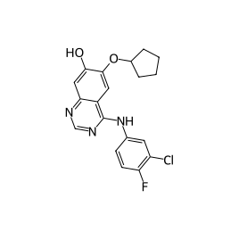 Oc1cc2ncnc(Nc3ccc(F)c(Cl)c3)c2cc1OC1CCCC1